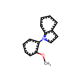 COc1ccccc1-n1ccc2c[c]ccc21